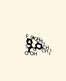 COc1cc2c(OC3CC(C)CC(C)(C)C3)c(C(=O)O)sc2cc1F